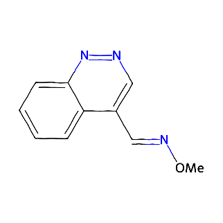 CON=Cc1cnnc2ccccc12